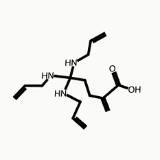 C=CCNC(CCC(=C)C(=O)O)(NCC=C)NCC=C